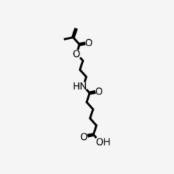 C=C(C)C(=O)OCCCNC(=O)CCCCC(=O)O